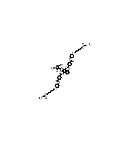 C=CC(=O)OCCCCCCOC1CCC(OC(=O)C2CCC(C(=O)Oc3c4c(c(OC(=O)C5CCC(C(=O)OC6CCC(OCCCCCCOC(=O)C=C)CC6)CC5)c5ccccc35)SC(=C3C(=O)N(C)N=C3C(C)C)S4)CC2)CC1